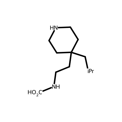 CC(C)CC1(CCNC(=O)O)CCNCC1